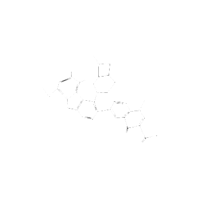 CNc1cc(F)c(F)c2c1[nH]c1ncc(-c3cnc4c(c3)c(=O)c(C(=O)O)cn4C)c(N3CCC4CN(C)C4C3)c12